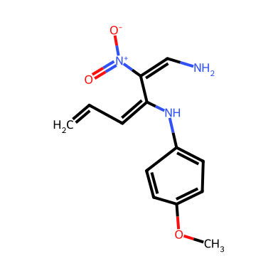 C=C/C=C(Nc1ccc(OC)cc1)\C(=C/N)[N+](=O)[O-]